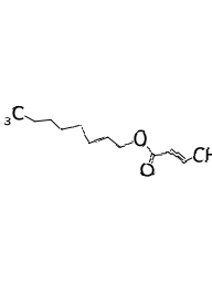 CC=CC(=O)OCCCCCCCC